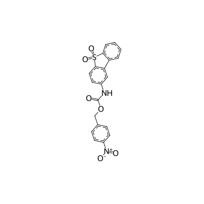 O=C(Nc1ccc2c(c1)-c1ccccc1S2(=O)=O)OCc1ccc([N+](=O)[O-])cc1